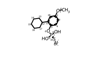 COc1ccc(OP(O)(O)=S)c(C2CCCCC2)c1.[Al]